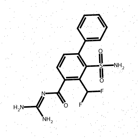 NC(N)=NC(=O)c1ccc(-c2ccccc2)c(S(N)(=O)=O)c1C(F)F